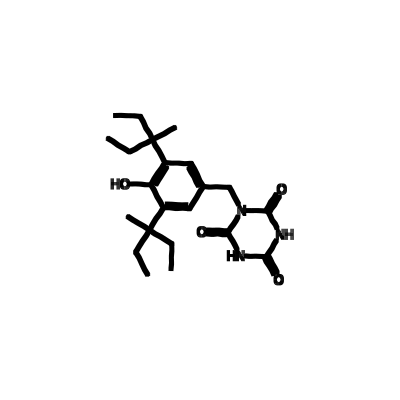 CCC(C)(CC)c1cc(Cn2c(=O)[nH]c(=O)[nH]c2=O)cc(C(C)(CC)CC)c1O